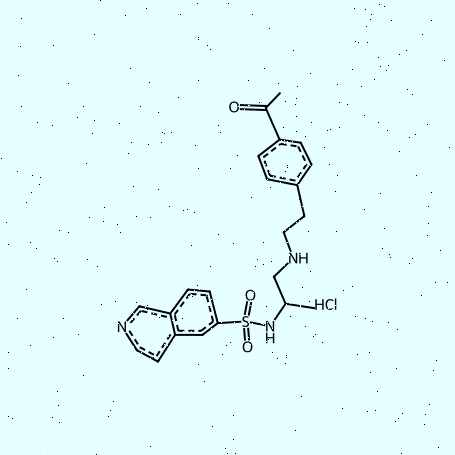 CC(=O)c1ccc(CCNCC(C)NS(=O)(=O)c2ccc3cnccc3c2)cc1.Cl